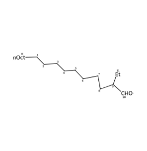 CCCCCCCCCCCCCCCCC([C]=O)CC